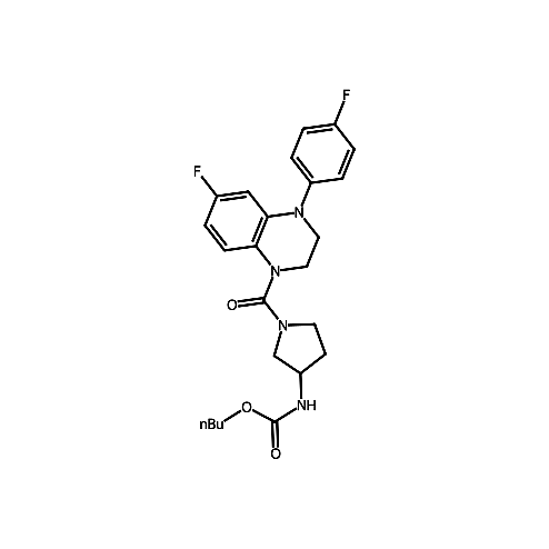 CCCCOC(=O)NC1CCN(C(=O)N2CCN(c3ccc(F)cc3)c3cc(F)ccc32)C1